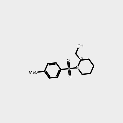 COc1ccc(S(=O)(=O)N2CCCC[C@@H]2CO)cc1